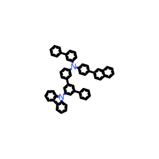 c1ccc(-c2cccc(N(c3ccc(-c4ccc5ccccc5c4)cc3)c3cccc(-c4cc(-c5ccccc5)cc(-n5c6ccccc6c6ccccc65)c4)c3)c2)cc1